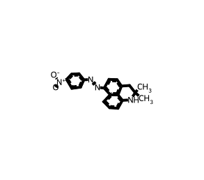 CC1(C)Cc2ccc(N=Nc3ccc([N+](=O)[O-])cc3)c3cccc(c23)N1